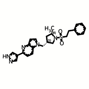 C[C@@H]1C[C@@H](Cn2ccc3nc(-c4cn[nH]c4)ccc32)CN1S(=O)(=O)CCc1ccccc1